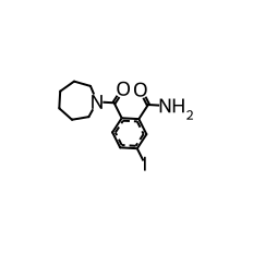 NC(=O)c1cc(I)ccc1C(=O)N1CCCCCC1